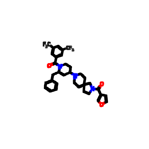 O=C(c1ccoc1)N1CCC2(CCN(C3CCN(C(=O)c4cc(C(F)(F)F)cc(C(F)(F)F)c4)C(Cc4ccccc4)C3)CC2)C1